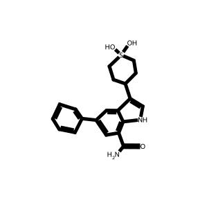 NC(=O)c1cc(-c2ccccc2)cc2c(C3CCS(O)(O)CC3)c[nH]c12